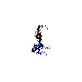 Bn1cccc1/C(CCN)=C1N=C(/C=C/c2ccc(OCC=C)cc2)C=C\1C